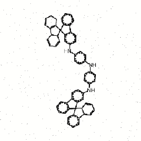 C1=CC2C3=C(CCC=C3)C3(c4ccccc4-c4ccc(Nc5ccc(Nc6ccc(Nc7ccc8c(c7)C7(c9ccccc9-8)c8ccccc8C8C=CC=CC87)cc6)cc5)cc43)C2C=C1